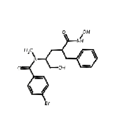 CN(C(=O)c1ccc(Br)cc1)C(CO)CC(Cc1ccccc1)C(=O)NO